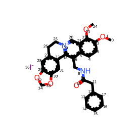 COc1ccc2c(CNC(=O)Cc3ccccc3)c3[n+](cc2c1OC)CCc1cc2c(cc1-3)OCO2.[I-]